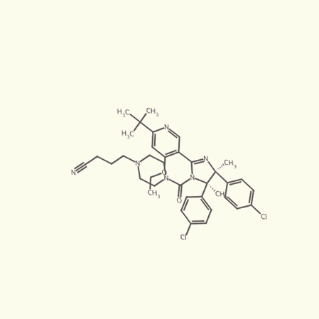 CCOc1cc(C(C)(C)C)ncc1C1=N[C@@](C)(c2ccc(Cl)cc2)[C@@](C)(c2ccc(Cl)cc2)N1C(=O)N1CCN(CCCC#N)CC1